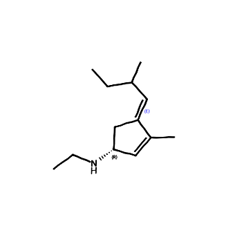 CCN[C@H]1C=C(C)/C(=C/C(C)CC)C1